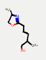 CC(CO)CCCC1=NC(C)CO1